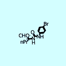 CCC[C@@H]([C]=O)NC(=O)Nc1ccc(Br)cc1